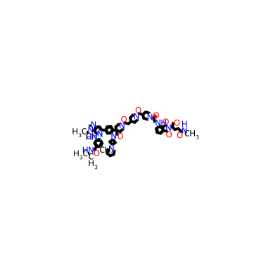 CNC(=O)CCC(C=O)N1C(=O)c2cccc(NCC(=O)N3CCC(C(=O)N4CCC(CC(=O)N5CCC6(CC5)C(=O)N(C5CC(N7CCCCC7)C5)c5cc(-c7cc8ncn(C(C)C)c8c(Nc8cc(C(=O)NC(C)C)c(C)cc8F)n7)ccc56)CC4)CC3)c2C1=O